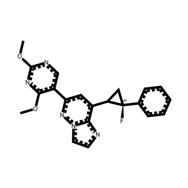 COc1ncc(-c2cc(C3C[C@]3(F)c3ccccc3)c3nccn3n2)c(OC)n1